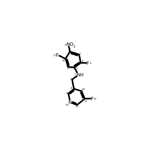 O=[N+]([O-])c1cc(F)c(NCc2cncc(F)c2)cc1F